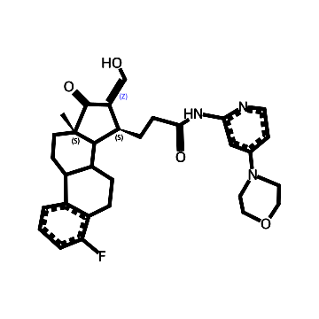 C[C@]12CCC3c4cccc(F)c4CCC3C1[C@H](CCC(=O)Nc1cc(N3CCOCC3)ccn1)/C(=C/O)C2=O